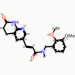 COc1cccc(CN(C)C(=O)/C=C/c2cnc3c(c2)CCC(=O)N3)c1OC(C)C